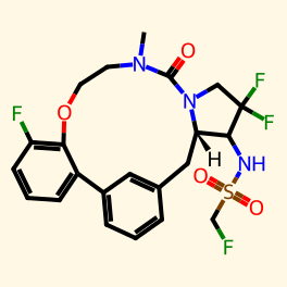 CN1CCOc2c(F)cccc2-c2cccc(c2)C[C@H]2C(NS(=O)(=O)CF)C(F)(F)CN2C1=O